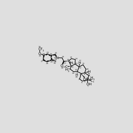 COC[C@]12CC[C@@](C)(O)C[C@H]1CC[C@H]1[C@@H]3CC[C@H](C(=O)Cn4cc5cc(OC(F)(F)F)ccc5n4)[C@@]3(C)CC[C@@H]12